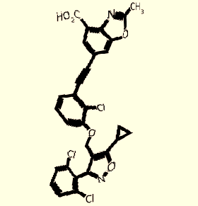 Cc1nc2c(C(=O)O)cc(C#Cc3cccc(OCc4c(-c5c(Cl)cccc5Cl)noc4C4CC4)c3Cl)cc2o1